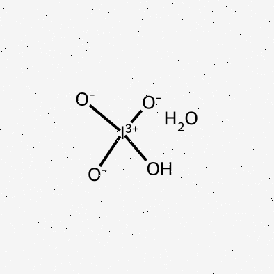 O.[O-][I+3]([O-])([O-])O